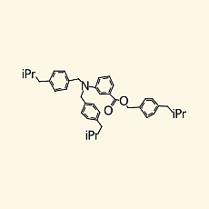 CC(C)Cc1ccc(COC(=O)c2cccc(N(Cc3ccc(CC(C)C)cc3)Cc3ccc(CC(C)C)cc3)c2)cc1